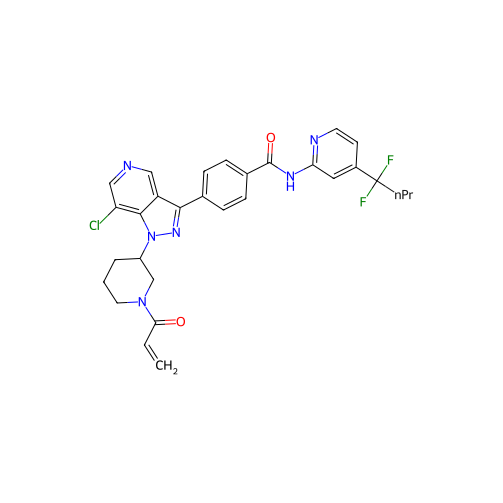 C=CC(=O)N1CCCC(n2nc(-c3ccc(C(=O)Nc4cc(C(F)(F)CCC)ccn4)cc3)c3cncc(Cl)c32)C1